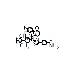 Cc1noc(C)c1-c1ccc2c(c1)nc(C1CCCC(=O)N1c1ccc(F)c(F)c1)n2-c1nc(-c2ccc(C(N)=S)cc2)cs1